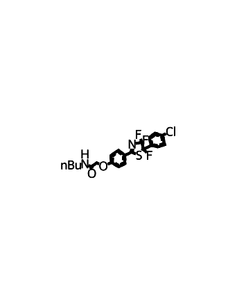 CCCCNC(=O)COc1ccc(C2=NC(F)(F)C(F)(c3ccc(Cl)cc3)S2)cc1